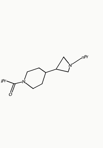 CCCN1CC(C2CCN(C(=O)C(C)C)CC2)C1